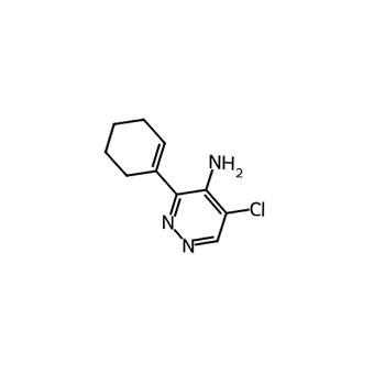 Nc1c(Cl)cnnc1C1=CCCCC1